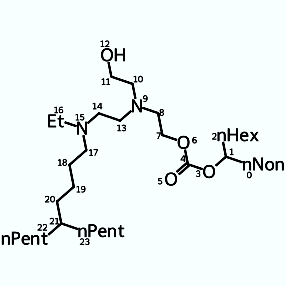 CCCCCCCCCC(CCCCCC)OC(=O)OCCN(CCO)CCN(CC)CCCCC(CCCCC)CCCCC